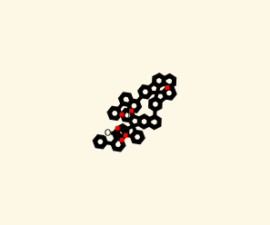 c1ccc(C2(c3ccccc3-c3ccc4c5c(cccc35)-c3ccccc3O4)c3ccccc3-c3cc4c(-c5ccc6c(c5)-c5ccccc5C65c6cc(-c7ccc8c9c(cccc79)-c7ccccc7O8)ccc6-c6ccc7ccccc7c65)cccc4cc32)cc1